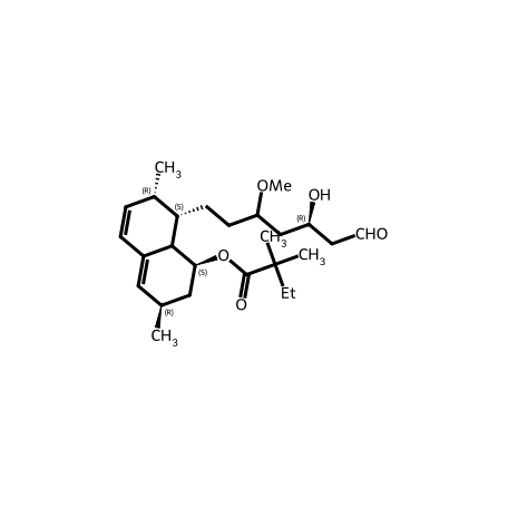 CCC(C)(C)C(=O)O[C@H]1C[C@@H](C)C=C2C=C[C@H](C)[C@H](CCC(C[C@@H](O)CC=O)OC)C21